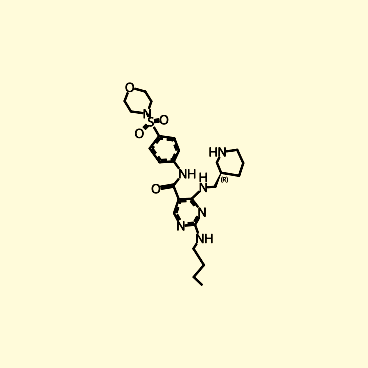 CCCCNc1ncc(C(=O)Nc2ccc(S(=O)(=O)N3CCOCC3)cc2)c(NC[C@@H]2CCCNC2)n1